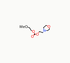 COCCOC(=O)OCCN1CCOCC1